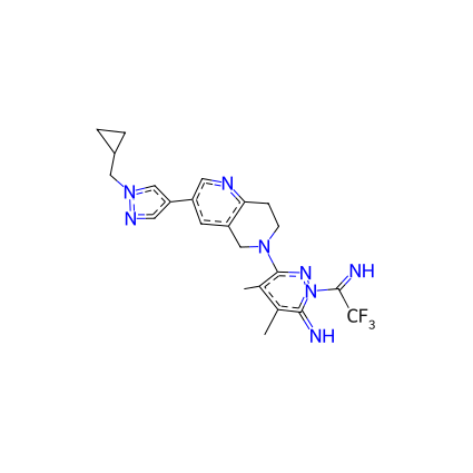 Cc1c(N2CCc3ncc(-c4cnn(CC5CC5)c4)cc3C2)nn(C(=N)C(F)(F)F)c(=N)c1C